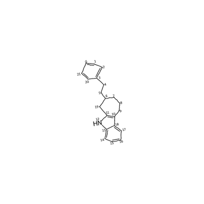 c1ccc(CCC2CCCc3c([nH]c4ccccc34)C2)cc1